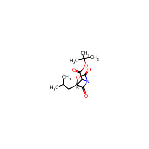 CC(C)C[C@]12OC(=O)N(C1=O)C2C(=O)OC(C)(C)C